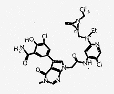 C=C1[C@H](CN(CC)c2cc(NC(=O)Cn3cc(-c4cc(Cl)c(O)c(C(N)=O)c4)c4c(=O)n(C)cnc43)c(Cl)cn2)N1CC(F)(F)F